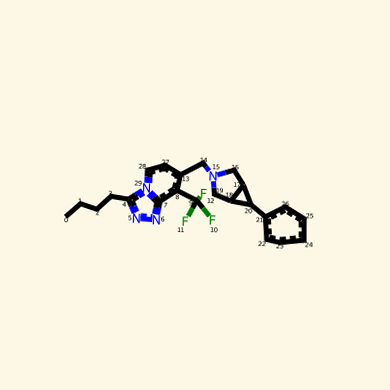 CCCCc1nnc2c(C(F)(F)F)c(CN3CC4C(C3)C4c3ccccc3)ccn12